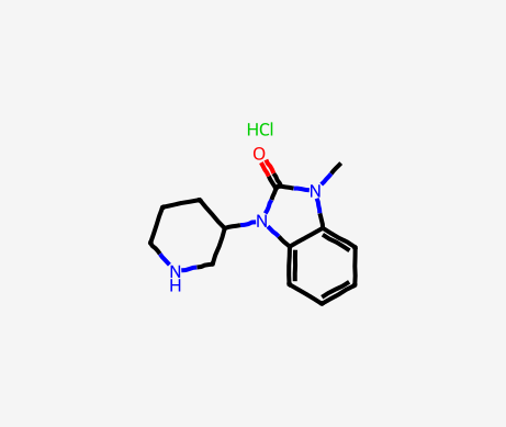 Cl.Cn1c(=O)n(C2CCCNC2)c2ccccc21